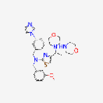 C1COCCN1.COc1cccc(CN(Cc2cccc(-n3ccnc3)c2)c2nc(C(C)N3CCOCC3)cs2)c1